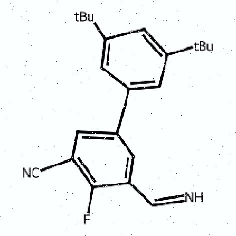 CC(C)(C)c1cc(-c2cc(C#N)c(F)c(C=N)c2)cc(C(C)(C)C)c1